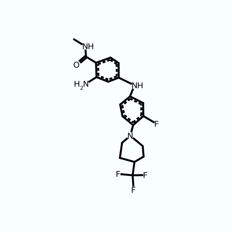 CNC(=O)c1ccc(Nc2ccc(N3CCC(C(F)(F)F)CC3)c(F)c2)cc1N